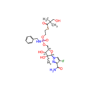 CC(C)(CO)C(=O)SCCOP(=O)(NCc1ccccc1)OC[C@H]1O[C@@H](n2cc(F)c(C(N)=O)n2)C(C)(O)[C@H]1O